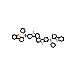 c1ccc(N(c2ccc3c(c2)sc2ccc4c(ccc5sc6cc(N(c7ccccc7)c7cccc8c7sc7ccccc78)ccc6c54)c23)c2cccc3c2sc2ccccc23)cc1